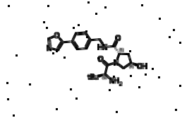 CC(C)(C)[C@H](N)C(=O)N1C[C@H](O)C[C@H]1C(=O)NCc1ccc(-c2cnco2)cc1